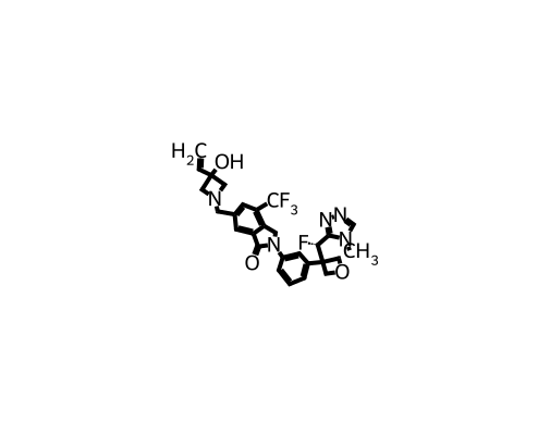 C=CC1(O)CN(Cc2cc3c(c(C(F)(F)F)c2)CN(c2cccc(C4([C@H](F)c5nncn5C)COC4)c2)C3=O)C1